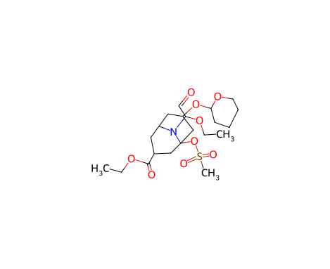 CCOC(=O)C1CC2CC(OC3CCCCO3)CC(OS(C)(=O)=O)(C1)N2C(C=O)OCC